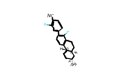 CCC[C@@H]1CC[C@@H]2c3ccc(-c4ccc(C#N)c(F)c4)c(F)c3CC[C@H]2C1